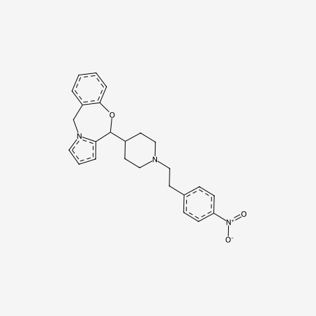 O=[N+]([O-])c1ccc(CCN2CCC(C3Oc4ccccc4Cn4cccc43)CC2)cc1